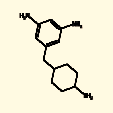 BC1CCC(Cc2cc(N)cc(N)c2)CC1